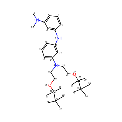 CN(C)c1cccc(Nc2cccc(N(CCO[Si](C)(C)C(C)(C)C)CCO[Si](C)(C)C(C)(C)C)c2)c1